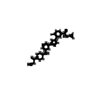 Cc1ccc(C(=O)NC2CC2)cc1-c1cnn(-c2cncc(NC3CCN(C(C)CO)CC3)c2)c1